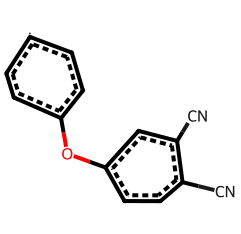 N#Cc1ccc(Oc2cc[c]cc2)cc1C#N